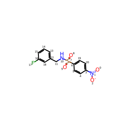 O=[N+]([O-])c1ccc(S(=O)(=O)NCc2cccc(F)c2)cc1